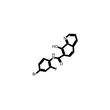 O=C(Nc1ccc(Br)cc1F)c1ccc2cccnc2c1O